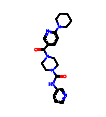 O=C(Nc1cccnc1)N1CCN(C(=O)c2ccc(N3CCCCC3)nc2)CC1